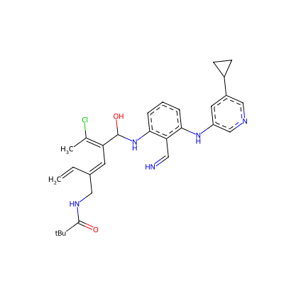 C=C/C(=C\C(=C(/C)Cl)C(O)Nc1cccc(Nc2cncc(C3CC3)c2)c1C=N)CNC(=O)C(C)(C)C